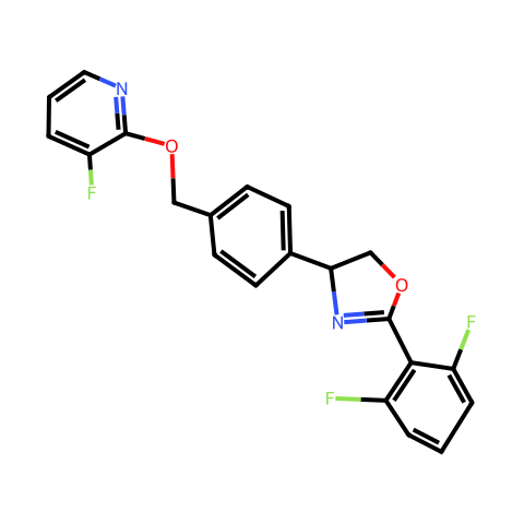 Fc1cccnc1OCc1ccc(C2COC(c3c(F)cccc3F)=N2)cc1